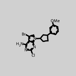 COc1cccc(C2CCC(n3cc(Br)c4c(N)nc(Cl)nc43)C2)c1